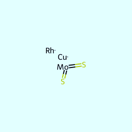 [Cu].[Rh].[S]=[Mo]=[S]